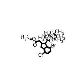 CCOC(=O)CC1Cc2c(Cl)ccc(Br)c2C1C(C)O[Si](C)(C)C(C)(C)C